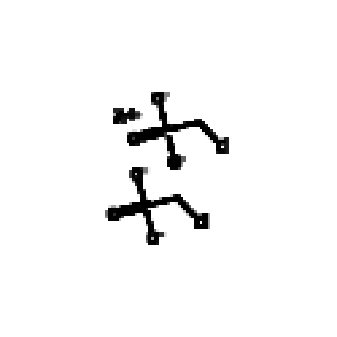 O=P([O-])([O-])CCl.O=P([O-])([O-])CCl.[Zr+4]